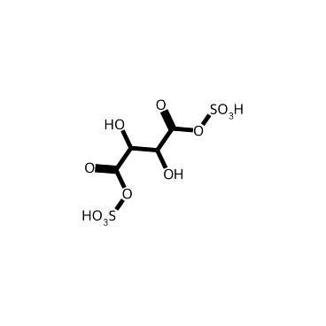 O=C(OS(=O)(=O)O)C(O)C(O)C(=O)OS(=O)(=O)O